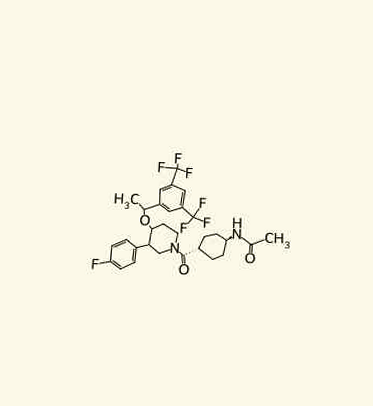 CC(=O)N[C@H]1CC[C@H](C(=O)N2CCC(OC(C)c3cc(C(F)(F)F)cc(C(F)(F)F)c3)C(c3ccc(F)cc3)C2)CC1